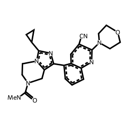 CNC(=O)N1CCn2c(C3CC3)nc(-c3cccc4nc(N5CCOCC5)c(C#N)cc34)c2C1